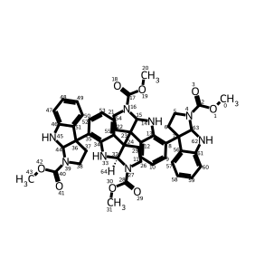 COC(=O)N1CCC2(c3cccc4c3NC3N(C(=O)OC)CCC43C34CCN(C(=O)OC)[C@H]3Nc3c(C56CCN(C(=O)OC)C5Nc5ccccc56)cccc34)c3ccccc3NC12